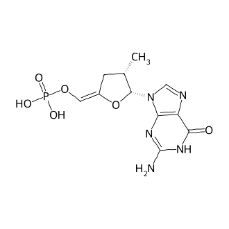 C[C@H]1C/C(=C\OP(=O)(O)O)O[C@H]1n1cnc2c(=O)[nH]c(N)nc21